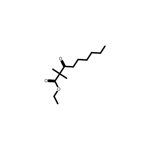 CCCCCCC(=O)C(C)(C)C(=O)OCC